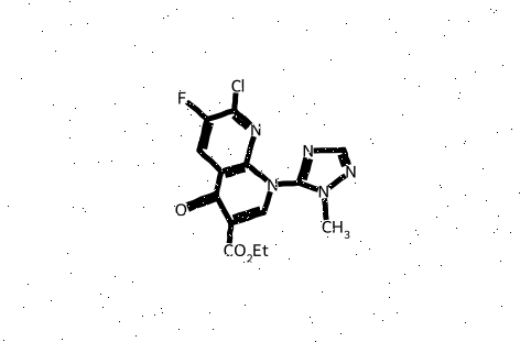 CCOC(=O)c1cn(-c2ncnn2C)c2nc(Cl)c(F)cc2c1=O